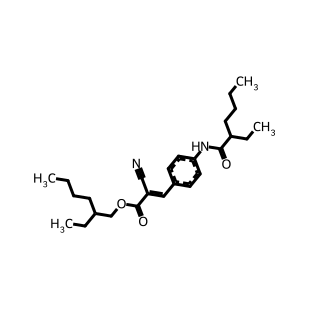 CCCCC(CC)COC(=O)/C(C#N)=C/c1ccc(NC(=O)C(CC)CCCC)cc1